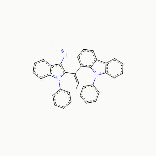 C=Nc1c(/C(=C\C)c2cccc3c4ccccc4n(-c4ccccc4)c23)n(-c2ccccc2)c2ccccc12